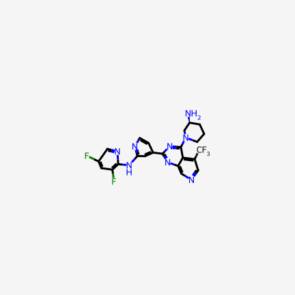 N[C@H]1CCCN(c2nc(-c3ccnc(Nc4ncc(F)cc4F)c3)nc3cncc(C(F)(F)F)c23)C1